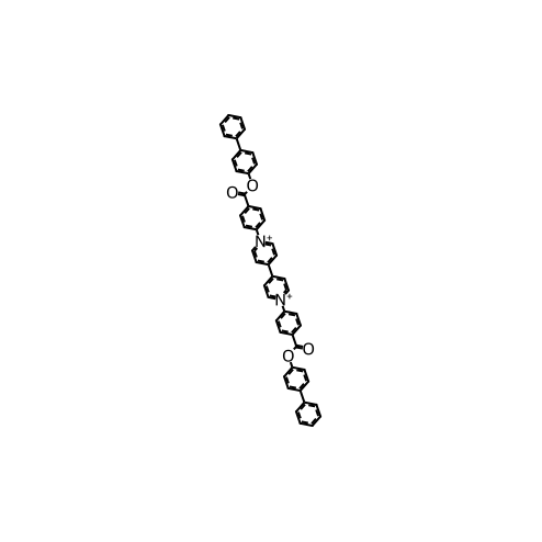 O=C(Oc1ccc(-c2ccccc2)cc1)c1ccc(-[n+]2ccc(-c3cc[n+](-c4ccc(C(=O)Oc5ccc(-c6ccccc6)cc5)cc4)cc3)cc2)cc1